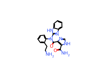 NCCc1ccccc1N(C(=O)c1nc[nH]c1C(N)=O)c1nc2ccccc2[nH]1